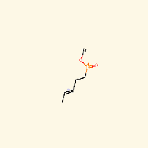 C/C=C/CC[PH](=O)OCC